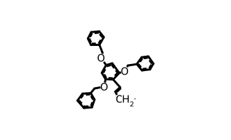 [CH2]C=Cc1c(OCc2ccccc2)cc(OCc2ccccc2)cc1OCc1ccccc1